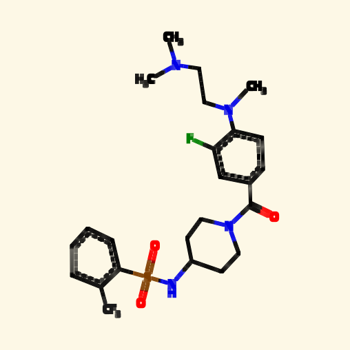 CN(C)CCN(C)c1ccc(C(=O)N2CCC(NS(=O)(=O)c3ccccc3C(F)(F)F)CC2)cc1F